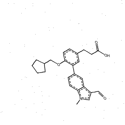 Cn1cc(C=O)c2cc(-c3cc(CCC(=O)O)ccc3OCC3CCCC3)ccc21